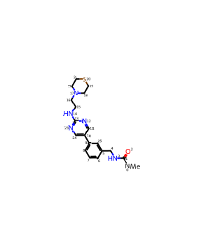 CNC(=O)NCc1cccc(-c2cnc(NCCN3CCSCC3)nc2)c1